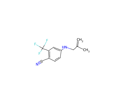 C=C(C)CNc1ccc(C#N)c(C(F)(F)F)c1